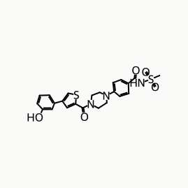 CS(=O)(=O)NC(=O)c1ccc(N2CCN(C(=O)c3cc(-c4cccc(O)c4)cs3)CC2)cc1